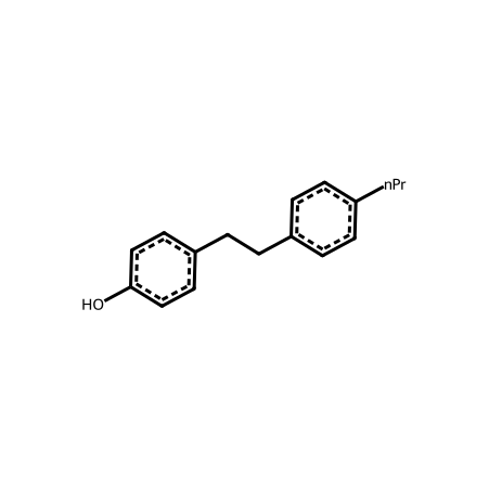 CCCc1ccc(CCc2ccc(O)cc2)cc1